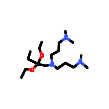 CCO[Si](CC)(CN(CCCN(C)C)CCCN(C)C)OCC